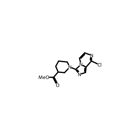 COC(=O)C1CCCN(c2ncc3c(Cl)nccn23)C1